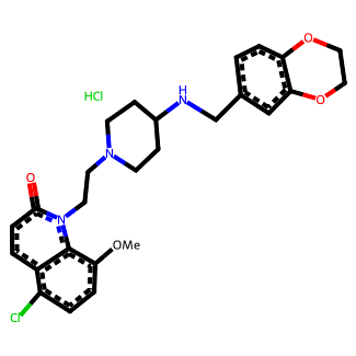 COc1ccc(Cl)c2ccc(=O)n(CCN3CCC(NCc4ccc5c(c4)OCCO5)CC3)c12.Cl